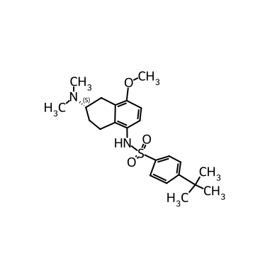 COc1ccc(NS(=O)(=O)c2ccc(C(C)(C)C)cc2)c2c1C[C@@H](N(C)C)CC2